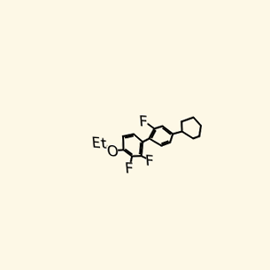 CCOc1ccc(-c2ccc(C3CCCCC3)cc2F)c(F)c1F